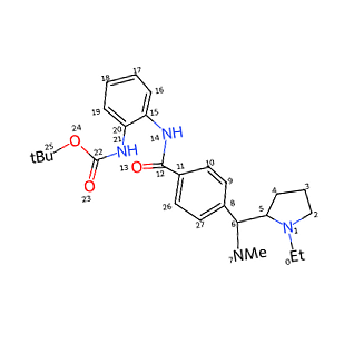 CCN1CCCC1C(NC)c1ccc(C(=O)Nc2ccccc2NC(=O)OC(C)(C)C)cc1